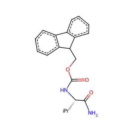 CC(C)[C@H](NC(=O)OCC1c2ccccc2-c2ccccc21)C(N)=O